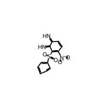 N=C1C=CC([N+](=O)[O-])=C(S(=O)(=O)c2ccccc2)C1=N